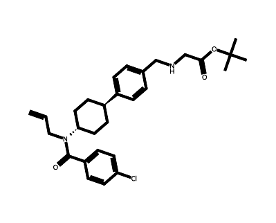 C=CCN(C(=O)c1ccc(Cl)cc1)[C@H]1CC[C@H](c2ccc(CNCC(=O)OC(C)(C)C)cc2)CC1